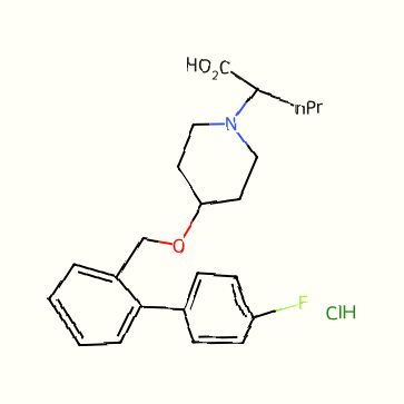 CCCC(C(=O)O)N1CCC(OCc2ccccc2-c2ccc(F)cc2)CC1.Cl